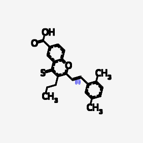 CCCc1c(/C=C/c2cc(C)ccc2C)oc2ccc(C(=O)O)cc2c1=S